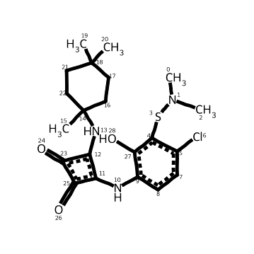 CN(C)Sc1c(Cl)ccc(Nc2c(NC3(C)CCC(C)(C)CC3)c(=O)c2=O)c1O